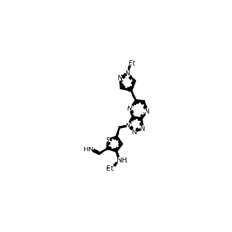 CCNc1cc(Cn2nnc3ncc(-c4cnn(CC)c4)nc32)sc1C=N